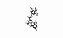 CNc1ccc(Br)cc1C(=O)N1CCN(C(=O)COc2cc(OC)c(OC)c(OC)c2)CC1C=O